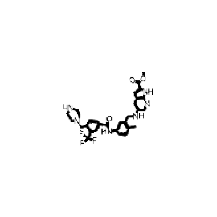 COC(=O)c1cc2cc(NCc3cc(NC(=O)c4ccc(CN5CCNCC5)c(C(F)(F)F)c4)ccc3C)cnc2[nH]1